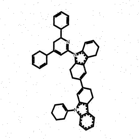 C1=CCC(C2=CC(n3c4c(c5c3CCC(C3=Cc6c(c7ccccc7n6C6=CCCCC6)CC3)=C5)CCC=C4)=NC(C3C=CC=CC3)C2)C=C1